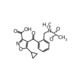 CN(Cc1ccccc1C(=O)c1c(C(=O)O)noc1C1CC1)S(C)(=O)=O